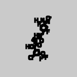 CO/N=C(\N)c1cc(F)c(CNC(=O)[C@@H]2CCN2C(=O)[C@H](O)c2cc(Cl)cc(OC(F)F)c2)cc1F